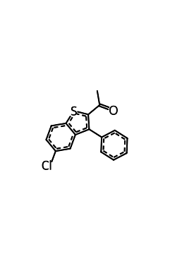 CC(=O)c1sc2ccc(Cl)cc2c1-c1ccccc1